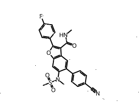 CNC(=O)c1c(-c2ccc(F)cc2)oc2cc(N(C)S(C)(=O)=O)c(-c3ccc(C#N)cc3)cc12